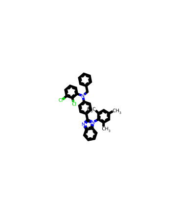 Cc1cc(C)c(-n2c(-c3ccc(N(Cc4ccccc4)c4cccc(Cl)c4Cl)cc3)nc3ccccc32)c(C)c1